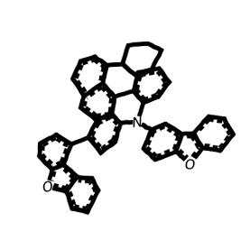 c1ccc(N(c2ccc(-c3cccc4oc5ccccc5c34)cc2)c2ccc3oc4ccccc4c3c2)c(-c2cccc3cccc(C4CCCCC4)c23)c1